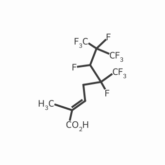 CC(=CCC(F)(C(F)C(F)(C(F)(F)F)C(F)(F)F)C(F)(F)F)C(=O)O